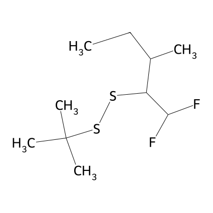 CCC(C)C(SSC(C)(C)C)C(F)F